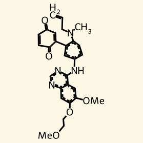 C=CCN(C)c1ccc(Nc2ncnc3cc(OCCOC)c(OC)cc23)cc1C1=CC(=O)C=CC1=O